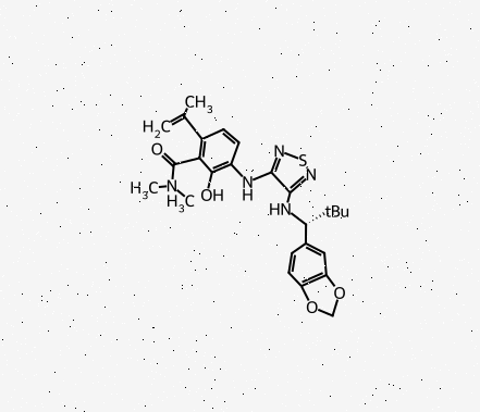 C=C(C)c1ccc(Nc2nsnc2N[C@@H](c2ccc3c(c2)OCO3)C(C)(C)C)c(O)c1C(=O)N(C)C